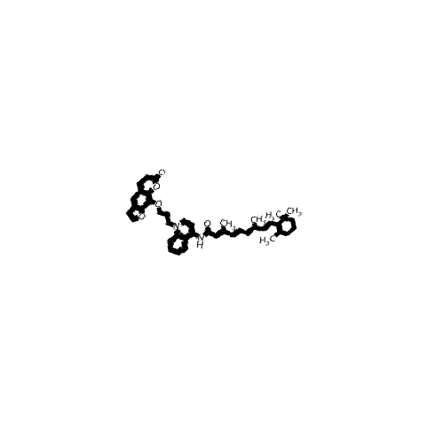 CC1=C(/C=C/C(C)=C/C=C/C(C)=C/C(=O)Nc2cc[n+](CCCOc3c4occc4cc4ccc(=O)oc34)c3ccccc23)C(C)(C)CCC1